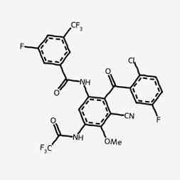 COc1c(NC(=O)C(F)(F)F)cc(NC(=O)c2cc(F)cc(C(F)(F)F)c2)c(C(=O)c2cc(F)ccc2Cl)c1C#N